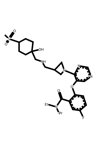 CCN(C(=O)c1cc(F)ccc1Oc1cncnc1N1CC(CNCC2(O)CCC(S(C)(=O)=O)CC2)C1)C(C)C